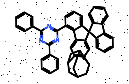 c1ccc(-c2nc(-c3ccccc3)nc(-c3cccc4c3-c3cc5c(cc3C43c4ccccc4-c4ccccc43)C3CC4CC(CC5C4)C3)n2)cc1